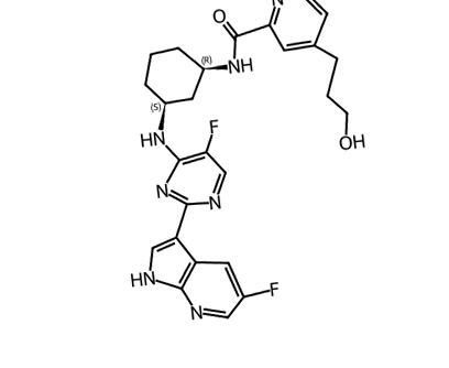 O=C(N[C@@H]1CCC[C@H](Nc2nc(-c3c[nH]c4ncc(F)cc34)ncc2F)C1)c1cc(CCCO)ccn1